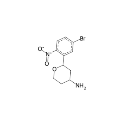 NC1CCOC(c2cc(Br)ccc2[N+](=O)[O-])C1